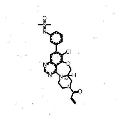 C=CC(=O)N1CCN2c3ncnc4cc(-c5cccc(N=S(C)(C)=O)c5)c(Cl)c(c34)OC[C@@H]2C1